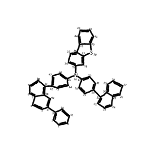 c1ccc(-c2ccc3cccc(-c4ccc(N(c5ccc(-c6cccc7ccccc67)cc5)c5ccc6c(c5)sc5ccccc56)cc4)c3c2)cc1